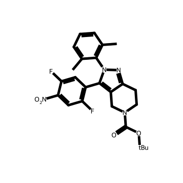 Cc1cccc(C)c1-n1nc2c(c1-c1cc(F)c([N+](=O)[O-])cc1F)CN(C(=O)OC(C)(C)C)CC2